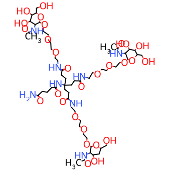 CC(=O)NC1C(O)CC(CO)OC1OCCOCCOCCNC(=O)CCC(CCC(=O)NCCOCCOCCOC1OC(CO)C(O)C(O)C1NC(C)=O)(CCC(=O)NCCOCCOCCOC1OC(CO)C(O)C(O)C1NC(C)=O)NC(=O)CCCC(N)=O